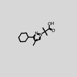 Cc1cn(C(C)(C)C(=O)O)nc1C1CCCCC1